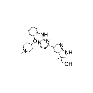 CN1CCC(Oc2ccccc2Nc2nccc(-c3cnc4c(c3)C(C)(CO)CN4)n2)CC1